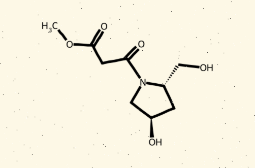 COC(=O)CC(=O)N1C[C@H](O)C[C@H]1CO